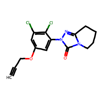 C#CCOc1cc(Cl)c(Cl)c(-n2nc3n(c2=O)CCCC3)c1